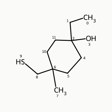 CCC1(O)CCC(C)(CS)CC1